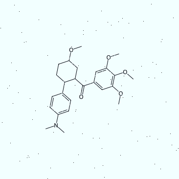 COc1cc(C(=O)C2CC(OC)CCC2c2ccc(N(C)C)cc2)cc(OC)c1OC